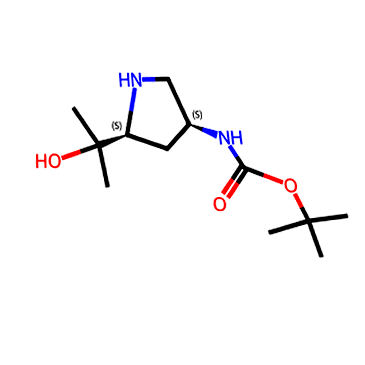 CC(C)(C)OC(=O)N[C@@H]1CN[C@H](C(C)(C)O)C1